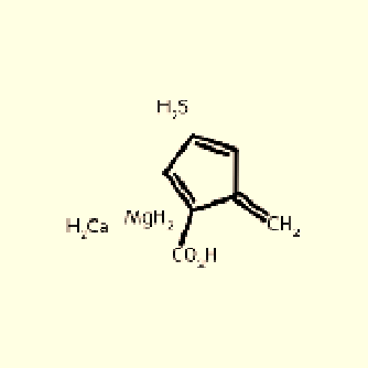 C=C1C=CC=C1C(=O)O.S.[CaH2].[MgH2]